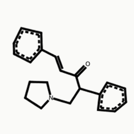 O=C(C=Cc1ccccc1)C(CN1CCCC1)c1ccccc1